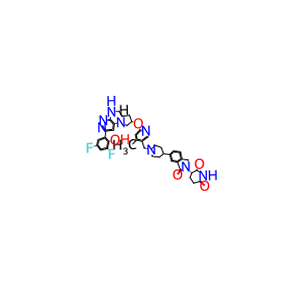 Cc1cc(O[C@@H]2C[C@@H]3CNc4nnc(-c5cc(F)cc(F)c5O)cc4N3C2)ncc1CN1CCC(c2ccc3c(c2)C(=O)N([C@H]2CCC(=O)NC2=O)C3)CC1